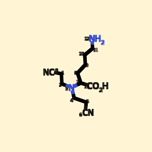 N#CCCN(CCC#N)C(CCCCN)C(=O)O